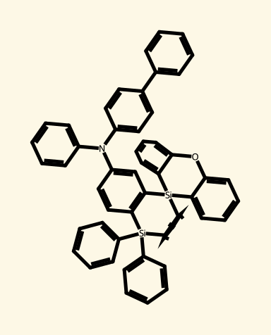 c1ccc(-c2ccc(N(c3ccccc3)c3ccc4c(c3)[Si]3(c5ccccc5Oc5ccccc53)c3ccccc3[Si]4(c3ccccc3)c3ccccc3)cc2)cc1